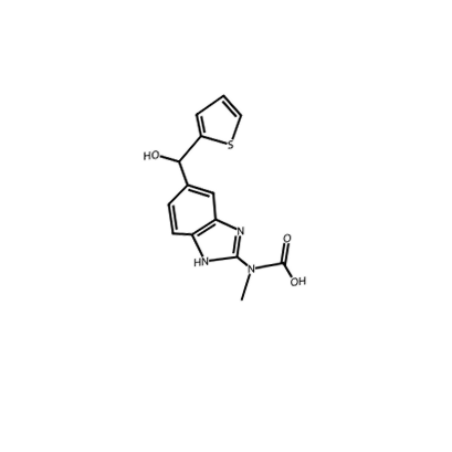 CN(C(=O)O)c1nc2cc(C(O)c3cccs3)ccc2[nH]1